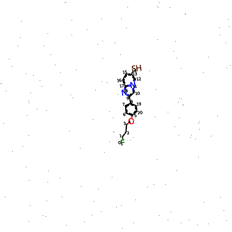 FCCCOc1ccc(-c2cn3cc(S)ccc3n2)cc1